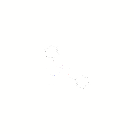 C[C@H](NP(=O)(OCc1ccccc1)Oc1ccccc1)C(=O)O